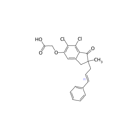 CC1(C/C=C/c2ccccc2)Cc2cc(OCC(=O)O)c(Cl)c(Cl)c2C1=O